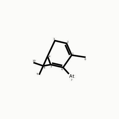 CC1=CCC2C(=C1[At])C2(C)C